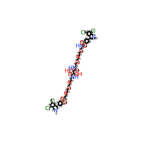 CN1Cc2c(Cl)cc(Cl)cc2[C@H](c2ccc(S(=O)(=O)CCCOCCOCCOCCNC(=O)[C@@H](O)[C@H](O)C(=O)NCCOCCOCCOCCNS(=O)(=O)c3ccc([C@@H]4CN(C)Cc5c(Cl)cc(Cl)cc54)cc3)cc2)C1